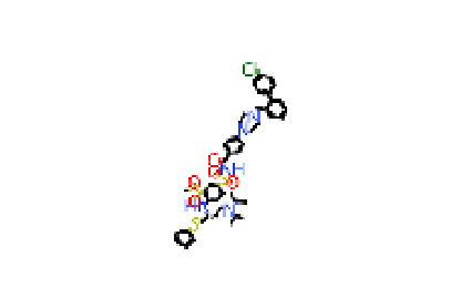 CC(C)N(CC[C@H](CSc1ccccc1)Nc1ccc(S(=O)(=O)NC(=O)c2ccc(N3CCN(Cc4ccccc4-c4ccc(Cl)cc4)CC3)cc2)cc1S(C)(=O)=O)C(C)C